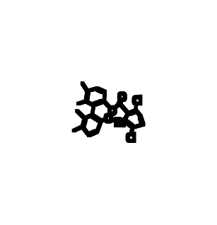 CCOc1ccc(C)c(C)c1-c1c(OC(=O)c2cc(Cl)ccc2Cl)ccc(C)c1C